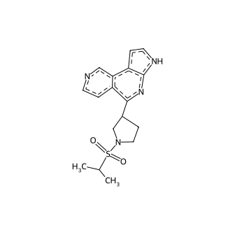 CC(C)S(=O)(=O)N1CCC(c2nc3[nH]ccc3c3cnccc23)C1